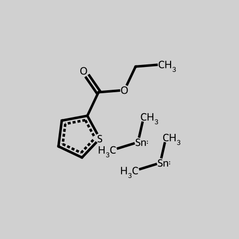 CCOC(=O)c1cccs1.[CH3][Sn][CH3].[CH3][Sn][CH3]